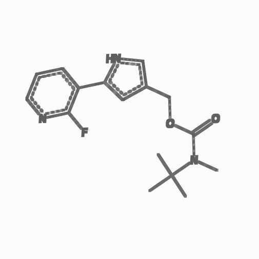 CN(C(=O)OCc1c[nH]c(-c2cccnc2F)c1)C(C)(C)C